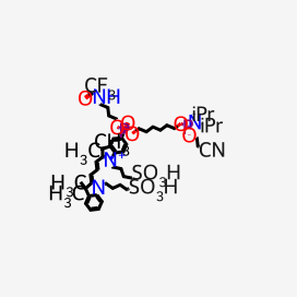 CC(C)N(C(C)C)P(OCCC#N)OCCCCCCOP(=O)(OCCCCNC(=O)C(F)(F)F)c1ccc2c(c1)C(C)(C)C(/C=C/C=C1\N(CCCCS(=O)(=O)O)c3ccccc3C1(C)C)=[N+]2CCCCS(=O)(=O)O